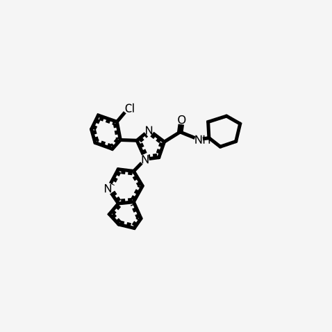 O=C(NC1CCCCC1)c1cn(-c2cnc3ccccc3c2)c(-c2ccccc2Cl)n1